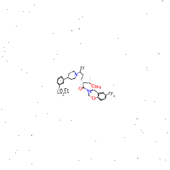 CCOC(=O)c1cccc(C2CCN([C@@H](CC)CC[C@@H](C(=O)N3COc4ccc(C(F)(F)F)cc4C3)[C@H](C)O)CC2)c1